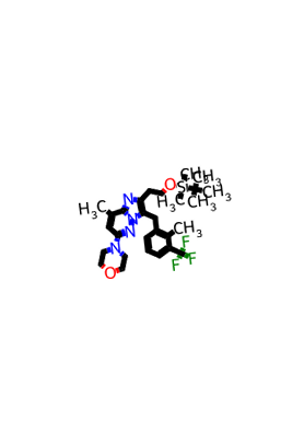 Cc1c(Cc2c(CCO[Si](C)(C)C(C)(C)C)nc3c(C)cc(N4CCOCC4)nn23)cccc1C(F)(F)F